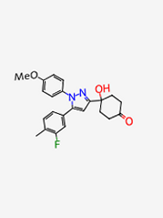 COc1ccc(-n2nc(C3(O)CCC(=O)CC3)cc2-c2ccc(C)c(F)c2)cc1